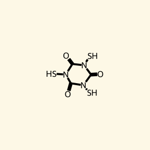 O=c1n(S)c(=O)n(S)c(=O)n1S